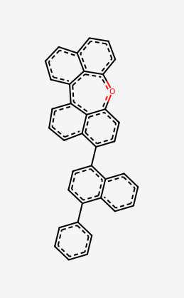 c1ccc(-c2ccc(-c3ccc4oc5cccc6cccc(c7cccc3c47)c65)c3ccccc23)cc1